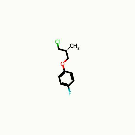 C[C@@H](CCl)COc1ccc(F)cc1